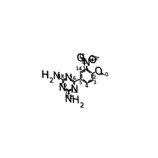 COc1ccc(-c2nc(N)nc(N)n2)cc1[N+](=O)[O-]